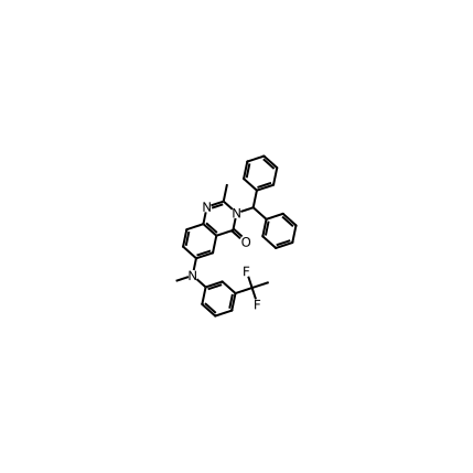 Cc1nc2ccc(N(C)c3cccc(C(C)(F)F)c3)cc2c(=O)n1C(c1ccccc1)c1ccccc1